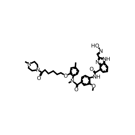 COc1cc(C(=O)N(C)c2ccc(C)cc2OCCCCCC(=O)N2CCN(C)CC2)ccc1NC(=O)c1cccc2[nH]c(C=NO)nc12